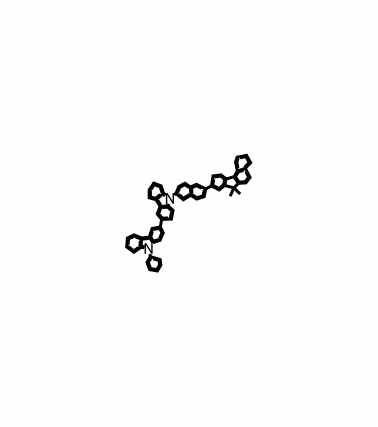 CC1(C)c2cc(-c3ccc4cc(-n5c6ccccc6c6cc(-c7ccc8c(c7)c7ccccc7n8-c7ccccc7)ccc65)ccc4c3)ccc2-c2c1ccc1ccccc21